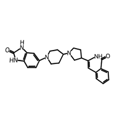 O=c1[nH]c2ccc(N3CCC(N4CCC(c5cc6ccccc6c(=O)[nH]5)C4)CC3)cc2[nH]1